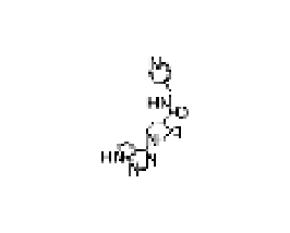 O=C(NCc1ccncc1)C1CCN(c2ncnc3[nH]ccc23)CC12CC2